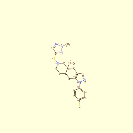 CCCn1ncc(SN2CCC3Cc4c(cnn4-c4ccc(F)cc4)CC3(C=O)C2)n1